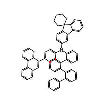 c1ccc(-c2ccccc2-c2ccccc2-c2ccccc2N(c2ccc(-c3cc4ccccc4c4ccccc34)cc2)c2ccc3c(c2)-c2ccccc2C32CCCCC2)cc1